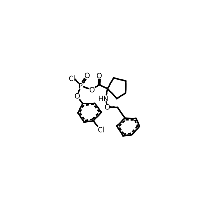 O=C(OP(=O)(Cl)Oc1ccc(Cl)cc1)C1(NOCc2ccccc2)CCCC1